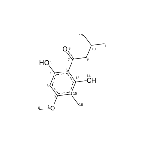 COc1cc(O)c(C(=O)CC(C)C)c(O)c1C